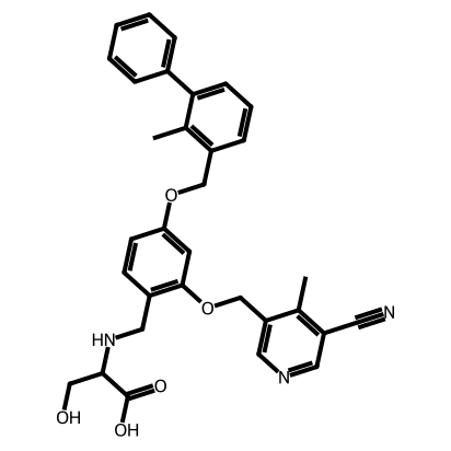 Cc1c(C#N)cncc1COc1cc(OCc2cccc(-c3ccccc3)c2C)ccc1CNC(CO)C(=O)O